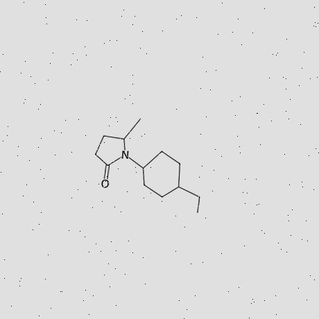 CCC1CCC(N2C(=O)CCC2C)CC1